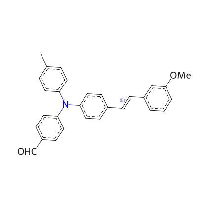 COc1cccc(/C=C/c2ccc(N(c3ccc(C)cc3)c3ccc(C=O)cc3)cc2)c1